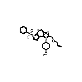 C=CCOCc1nc2cnc3c(ccn3S(=O)(=O)c3ccccc3)c2n1C1CCC(OC)CC1